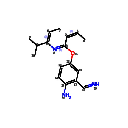 C\C=C/C(=N\C(=C/C)C(C)C)Oc1ccc(N)c(C=N)c1